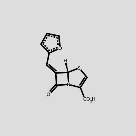 O=C(O)C1=CS[C@H]2/C(=C\c3ccco3)C(=O)N12